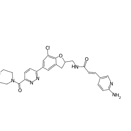 Nc1ccc(C=CC(=O)NCC2Cc3cc(-c4ccc(C(=O)N5CCOCC5)nn4)cc(Cl)c3O2)cn1